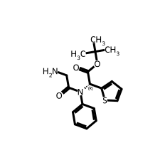 CC(C)(C)OC(=O)[C@H](c1cccs1)N(C(=O)CN)c1ccccc1